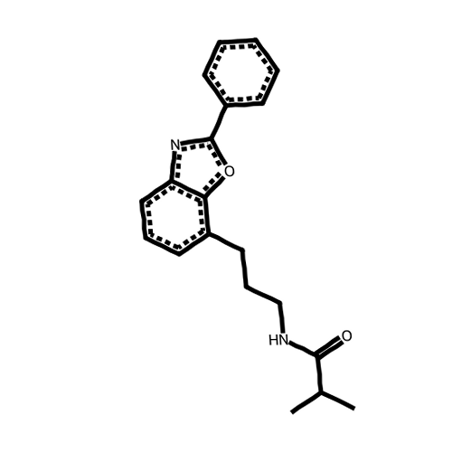 CC(C)C(=O)NCCCc1cccc2nc(-c3ccccc3)oc12